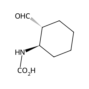 O=C[C@@H]1CCCC[C@H]1NC(=O)O